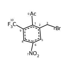 CC(=O)c1c(CBr)cc([N+](=O)[O-])cc1C(F)(F)F